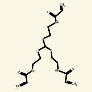 C=CC(=O)NCCOC(OCCNC(=O)C=C)OCCNC(=O)C=C